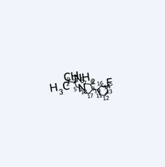 CC(C)[C@H](N)CN1CCC(c2cccc(F)c2)CC1